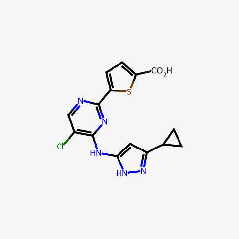 O=C(O)c1ccc(-c2ncc(Cl)c(Nc3cc(C4CC4)n[nH]3)n2)s1